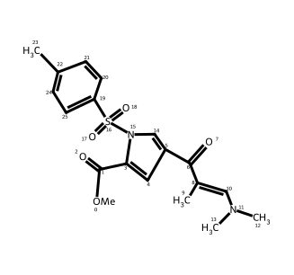 COC(=O)c1cc(C(=O)/C(C)=C/N(C)C)cn1S(=O)(=O)c1ccc(C)cc1